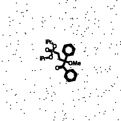 COC(CCP(=O)(OC(C)C)OC(C)C)(C(=O)c1ccccc1)c1ccccc1